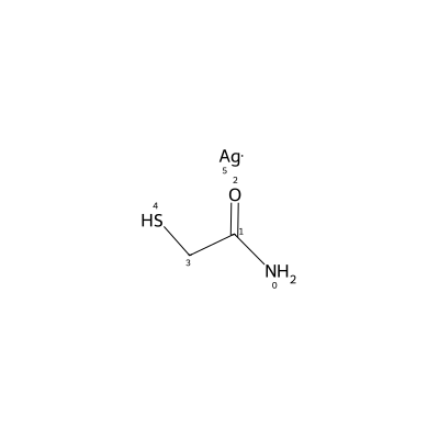 NC(=O)CS.[Ag]